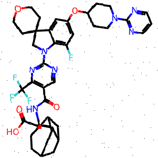 O=C(NC1(C(=O)O)C2CCC3CC(C2)CC1C3)c1cnc(N2CC3(CCOCC3)c3cc(OC4CCN(c5ncccn5)CC4)cc(F)c32)nc1C(F)(F)F